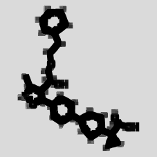 Cc1noc(-c2ccc(-c3ccc(C4(C(=O)O)CC4)cc3)cc2)c1[C@H](O)COCCc1ccccc1